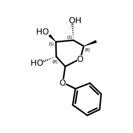 C[C@H]1OC(Oc2ccccc2)[C@H](O)[C@@H](O)[C@@H]1O